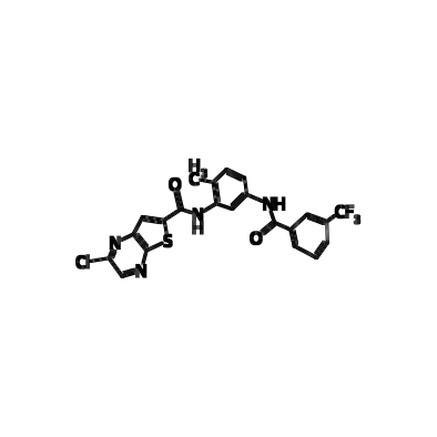 Cc1ccc(NC(=O)c2cccc(C(F)(F)F)c2)cc1NC(=O)c1cc2nc(Cl)cnc2s1